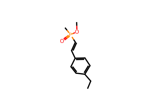 CCc1ccc(/C=C/P(C)(=O)OC)cc1